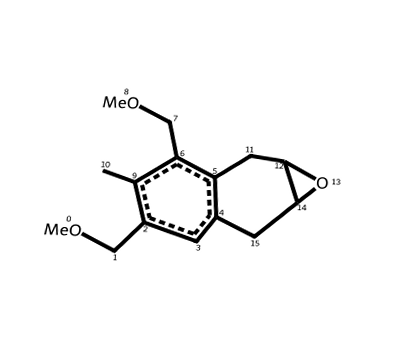 COCc1cc2c(c(COC)c1C)CC1OC1C2